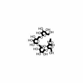 CC1=NC2[C@@H](O1)OC(CO)[C@@H](O[C@@H]1OC(CO[C@H]3OC(CO[C@H]4OC(CO)[C@@H](O)[C@H](O)C4O)[C@@H](O)[C@H](O)C3O)[C@@H](O)[C@H](O)C1O)[C@@H]2O